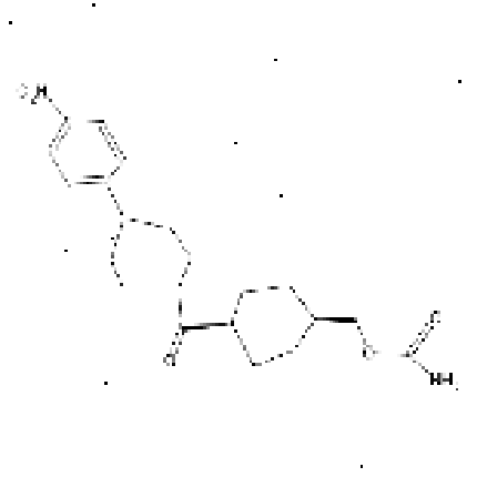 NC(=O)OC[C@H]1CC[C@@H](C(=O)C2CCC(c3ccc([N+](=O)[O-])cc3)CC2)CC1